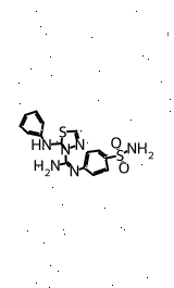 NC(=Nc1ccc(S(N)(=O)=O)cc1)N1N=[C]SC1Nc1ccccc1